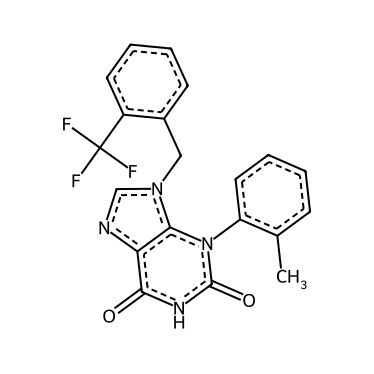 Cc1ccccc1-n1c(=O)[nH]c(=O)c2ncn(Cc3ccccc3C(F)(F)F)c21